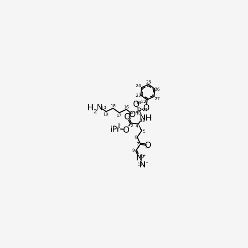 CC(C)OC(=O)[C@H](CCC(=O)C=[N+]=[N-])NP(=O)(OCCCCN)Oc1ccccc1